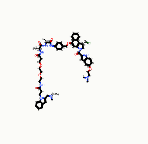 CNN(C)Cc1cc2ccccc2n1CCC(=O)NCCOCCOCCC(=O)N[C@H](C(=O)N[C@@H](C)C(=O)Nc1ccc(COc2cc3c(c4ccccc24)[C@H](CCl)CN3C(=O)c2cc3cc(OCCN(C)C)ccc3[nH]2)cc1)C(C)C